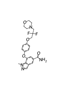 Cn1ncc2cc(C(N)=O)cc(Oc3ccc(OCC(F)(F)CN4CCOCC4)cc3)c21